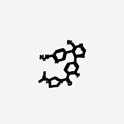 CCc1ncnc(-c2ccc(C(=O)N3CC[C@@H](N(C)C)C3)c(F)c2)c1-c1ccc(N)nc1